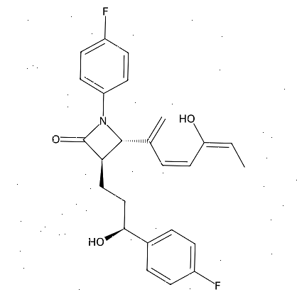 C=C(/C=C\C(O)=C/C)[C@@H]1[C@@H](CC[C@H](O)c2ccc(F)cc2)C(=O)N1c1ccc(F)cc1